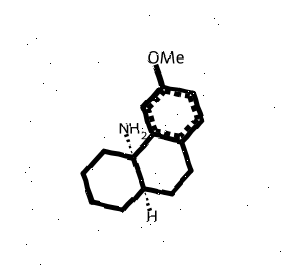 COc1ccc2c(c1)[C@]1(N)CCCC[C@@H]1CC2